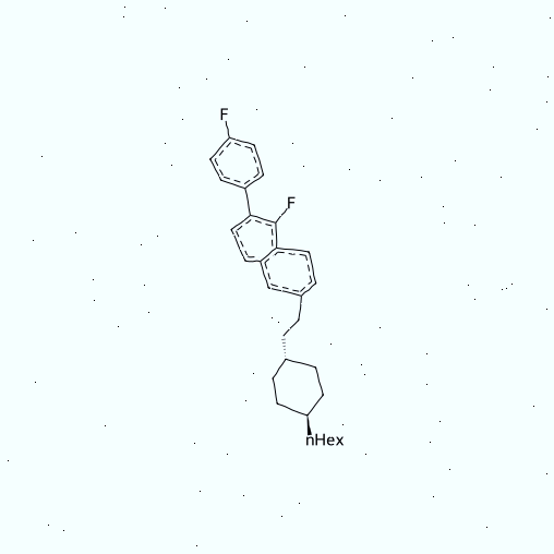 CCCCCC[C@H]1CC[C@H](CCc2ccc3c(F)c(-c4ccc(F)cc4)ccc3c2)CC1